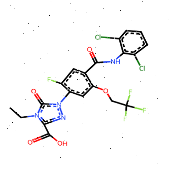 CCn1c(C(=O)O)nn(-c2cc(OCC(F)(F)F)c(C(=O)Nc3c(Cl)cccc3Cl)cc2F)c1=O